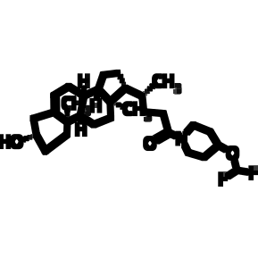 C[C@H](CCC(=O)N1CCC(OC(F)F)CC1)[C@H]1CC[C@H]2[C@@H]3CC=C4C[C@@H](O)CC[C@]4(C)[C@H]3CC[C@]12C